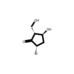 O=C1[C@@H](Br)C[C@H](O)[C@H]1CO